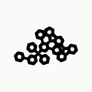 c1ccc(-c2cccc([Si](c3ccccc3)(c3ccccc3)c3cc(-c4ccccc4)c(-n4c5ccccc5c5ccc(-n6c7ccccc7c7ccccc76)cc54)c(-c4ccccc4)c3)c2)cc1